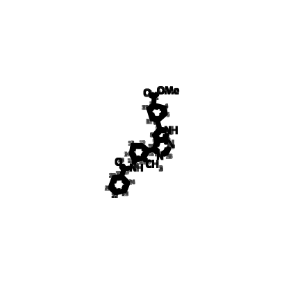 COC(=O)c1ccc(-c2cc3c(-c4cccc(NC(=O)c5ccccc5)c4C)ncnc3[nH]2)cc1